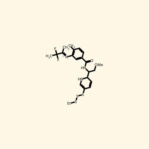 CCSSSC1=CNC(C(COC)NC(=O)c2ccc(C)c(/N=C(\C)C(C)(F)F)c2)C=C1